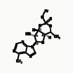 Cc1ncnc2c1ncn2[C@@H]1O[C@@H]2C(C)OP(=S)(OC(C)C)O[C@H]2[C@H]1O